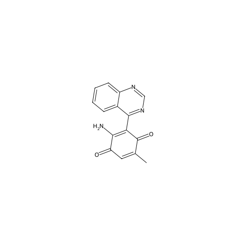 CC1=CC(=O)C(N)=C(c2ncnc3ccccc23)C1=O